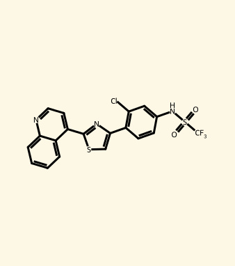 O=S(=O)(Nc1ccc(-c2csc(-c3ccnc4ccccc34)n2)c(Cl)c1)C(F)(F)F